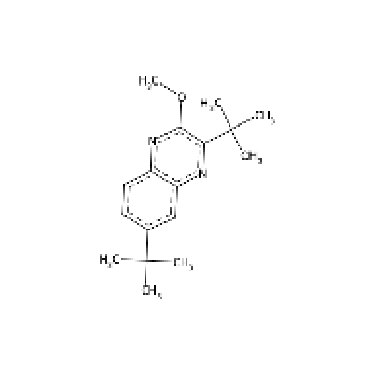 COc1nc2ccc(C(C)(C)C)cc2nc1C(C)(C)C